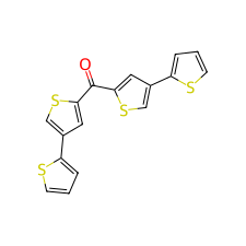 O=C(c1cc(-c2cccs2)cs1)c1cc(-c2cccs2)cs1